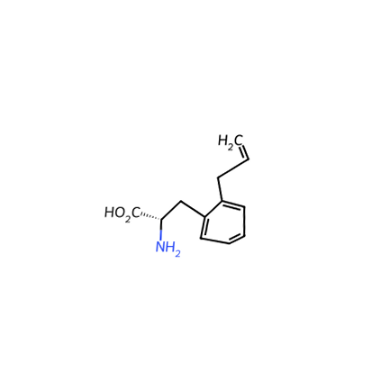 C=CCc1ccccc1C[C@H](N)C(=O)O